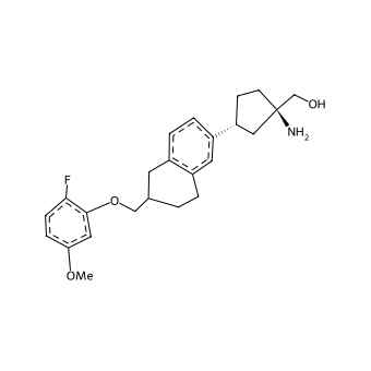 COc1ccc(F)c(OCC2CCc3cc([C@@H]4CC[C@](N)(CO)C4)ccc3C2)c1